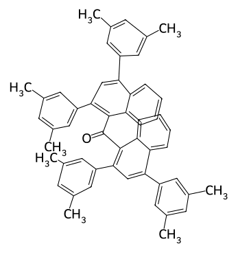 Cc1cc(C)cc(-c2cc(-c3cc(C)cc(C)c3)c3ccccc3c2C(=O)c2c(-c3cc(C)cc(C)c3)cc(-c3cc(C)cc(C)c3)c3ccccc23)c1